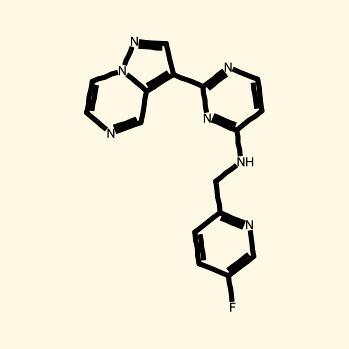 Fc1ccc(CNc2ccnc(-c3cnn4ccncc34)n2)nc1